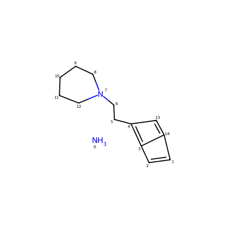 N.c1cc2c(CCN3CCCCC3)cc1-2